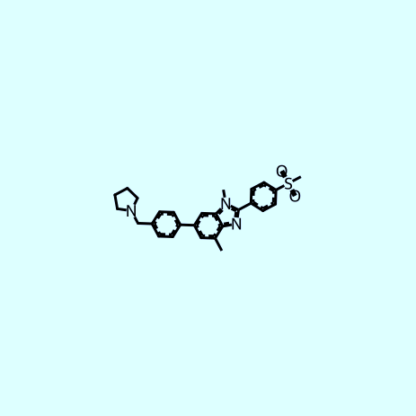 Cc1cc(-c2ccc(CN3CCCC3)cc2)cc2c1nc(-c1ccc(S(C)(=O)=O)cc1)n2C